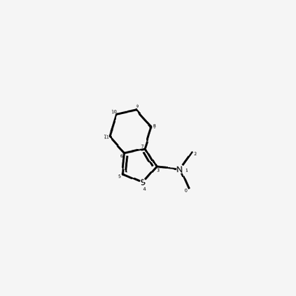 CN(C)c1scc2c1CCCC2